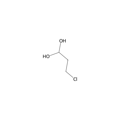 OC(O)CCCl